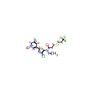 CCN(C(=O)CCSCCC(F)(F)F)c1sc(-c2cc(F)c[n+]([O-])c2)nc1Cl